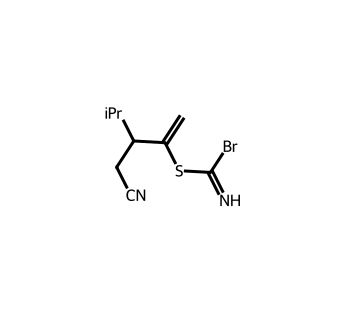 C=C(SC(=N)Br)C(CC#N)C(C)C